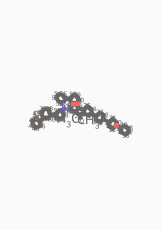 CC1(C)c2cc(-c3ccc(-c4ccc(-c5ccccc5)cc4)cc3)ccc2-c2ccc(N(c3cccc(-c4ccc5sc6ccccc6c5c4)c3)c3ccccc3-c3ccccc3)cc21